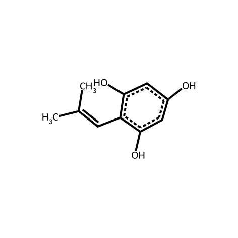 CC(C)=Cc1c(O)cc(O)cc1O